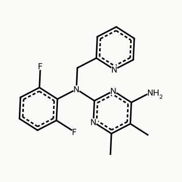 Cc1nc(N(Cc2ccccn2)c2c(F)cccc2F)nc(N)c1C